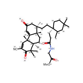 COC(=O)CNC(=O)CC[C@]1(CC[C@]2(C)CC(=O)C=C3[C@@]4(C)C=C(C#N)C(=O)C(C)(C)[C@@H]4CC[C@]32C)CCC(C)(C)CC1C